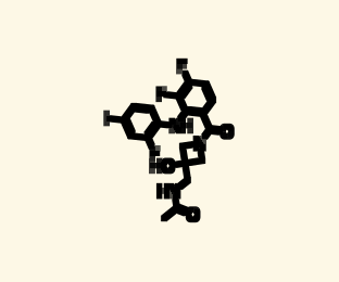 CC(=O)NCC1(O)CN(C(=O)c2ccc(F)c(F)c2Nc2ccc(I)cc2F)C1